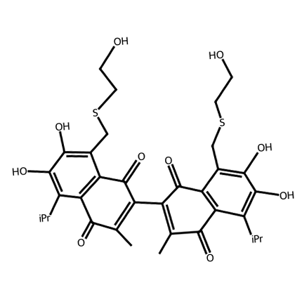 CC1=C(C2=C(C)C(=O)c3c(c(CSCCO)c(O)c(O)c3C(C)C)C2=O)C(=O)c2c(CSCCO)c(O)c(O)c(C(C)C)c2C1=O